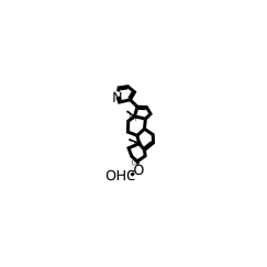 C[C@]12CC[C@H](OC=O)CC1=CCC1C2CC[C@]2(C)C(c3cccnc3)=CCC12